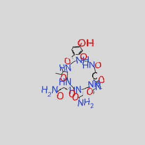 CCC(C)C1NC(=O)[C@H](Cc2ccc(O)cc2)NC(=O)CNC(=O)CCC(C(=O)N(C)CC)NC(=O)[C@H](CC(N)=O)NC(=O)[C@H](CCC(N)=O)NC1=O